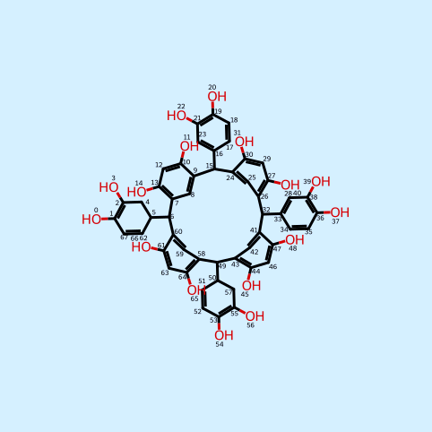 OC1=C(O)CC(C2c3cc(c(O)cc3O)C(c3ccc(O)c(O)c3)c3cc(c(O)cc3O)C(c3ccc(O)c(O)c3)c3cc(c(O)cc3O)C(C3C=CC(O)=C(O)C3)c3cc2c(O)cc3O)C=C1